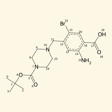 CC(C)(C)OC(=O)N1CCN(Cc2cc(N)c(C(=O)O)cc2Br)CC1